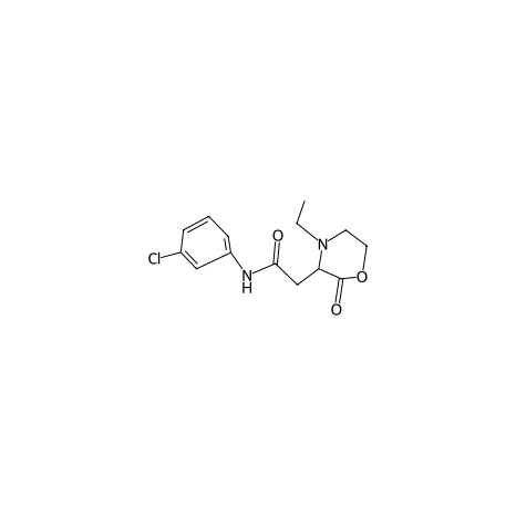 CCN1CCOC(=O)C1CC(=O)Nc1cccc(Cl)c1